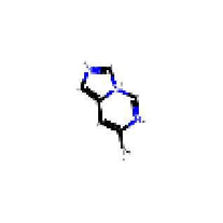 CC(C)c1cc2cncn2cn1